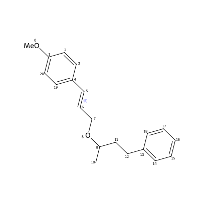 COc1ccc(/C=C/COC(C)CCc2ccccc2)cc1